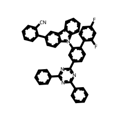 N#Cc1ccccc1-c1ccc2c(c1)c1ccccc1n2-c1cc(-c2nc(-c3ccccc3)nc(-c3ccccc3)n2)ccc1-c1ccc(F)cc1F